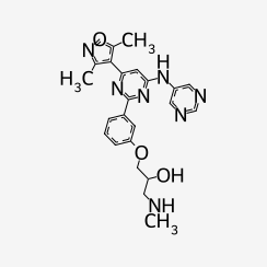 CNCC(O)COc1cccc(-c2nc(Nc3cncnc3)cc(-c3c(C)noc3C)n2)c1